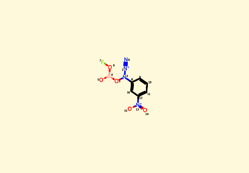 N#[N+]N(OB([O-])OF)c1cccc([N+](=O)[O-])c1